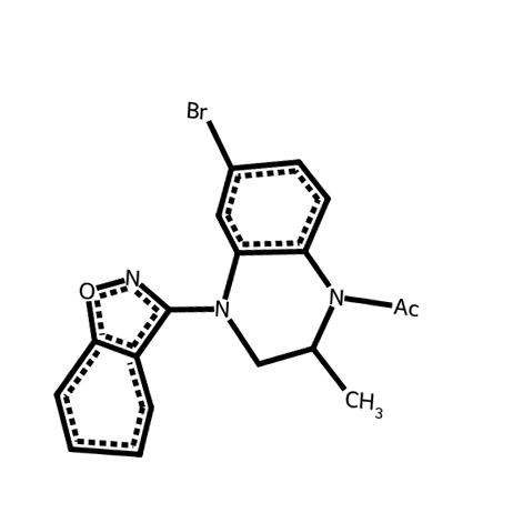 CC(=O)N1c2ccc(Br)cc2N(c2noc3ccccc23)CC1C